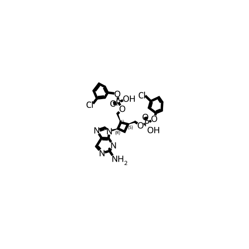 Nc1ncc2ncn([C@@H]3C[C@H](COP(=O)(O)Oc4cccc(Cl)c4)[C@@H]3COP(=O)(O)Oc3cccc(Cl)c3)c2n1